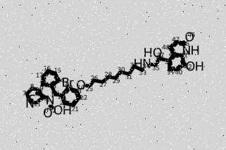 O=C(O)N(C1CN2CCC1CC2)[C@H](c1ccccc1)c1cccc(OCCCCCCCCCNC[C@H](O)c2ccc(O)c3[nH]c(=O)ccc23)c1Br